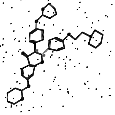 O=C1c2ccc(OC3CCCCO3)cc2O[C@@H](c2ccc(OCCN3CCCCC3)cc2)[C@@H]1c1ccc(OC2CCCCO2)cc1